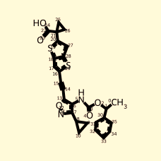 CC(OC(=O)Nc1c(C2CC2)noc1C#Cc1cc2sc(C3(C(=O)O)CC3)cc2s1)c1ccccc1